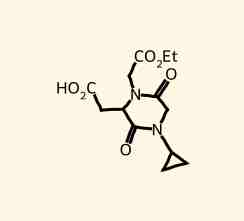 CCOC(=O)CN1C(=O)CN(C2CC2)C(=O)C1CC(=O)O